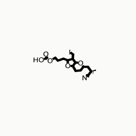 C[C@@H](C#N)CC1CCC2OC(CCCOC(=O)O)C(CI)C2O1